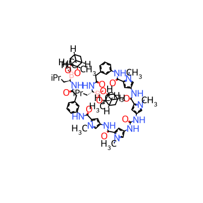 CC(C)C[C@H](NC(=O)Cc1cccc(NC(=O)c2cc(NC(=O)c3cc(NC(=O)Nc4cc(C(=O)Nc5cc(C(=O)Nc6cccc(CC(=O)N[C@@H](CC(C)C)B7O[C@@H]8C[C@@H]9C[C@@H](C9(C)C)[C@]8(C)O7)c6)n(C)c5)n(C)c4)cn3C)cn2C)c1)B1O[C@@H]2C[C@@H]3C[C@@H](C3(C)C)[C@]2(C)O1